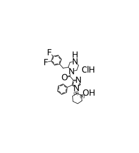 Cl.O=C(c1ncn([C@H]2CCCC[C@H]2O)c1-c1ccccc1)N1CCNCC1Cc1ccc(F)c(F)c1